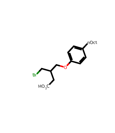 CCCCCCCCc1ccc(OCC(CBr)CC(=O)O)cc1